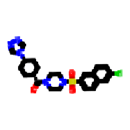 O=C([C@H]1CC[C@H](n2cnnc2)CC1)N1CCN(S(=O)(=O)c2ccc3cc(Cl)ccc3c2)CC1